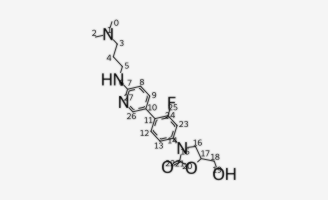 CN(C)CCCNc1ccc(-c2ccc(N3CC(CO)OC3=O)cc2F)cn1